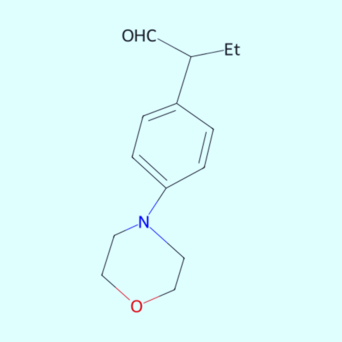 CCC(C=O)c1ccc(N2CCOCC2)cc1